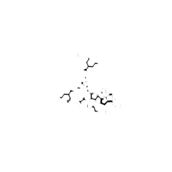 CCCC(CCC)C(=O)OCOP(=O)(OCOC(=O)C(CCC)CCC)OC[C@H]1O[C@@](C#N)(c2ccc3c(N)ncnn23)[C@H](OC(=O)C(C)C)[C@@H]1OC(=O)C(C)C